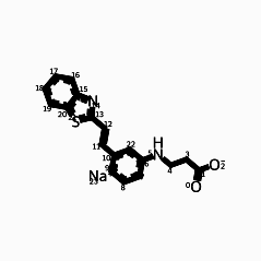 O=C([O-])CCNc1cccc(/C=C/c2nc3ccccc3s2)c1.[Na+]